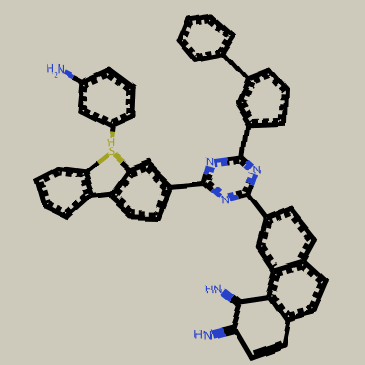 N=C1C=Cc2ccc3ccc(-c4nc(-c5cccc(-c6ccccc6)c5)nc(-c5ccc6c(c5)[SH](c5cccc(N)c5)c5ccccc5-6)n4)cc3c2C1=N